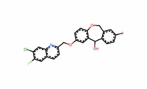 OC1c2ccc(I)cc2COc2ccc(OCc3ccc4cc(F)c(Cl)cc4n3)cc21